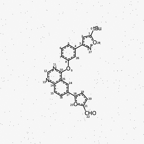 CC(C)(C)c1cc(-c2cccc(Oc3ncnc4ccc(-c5ccc(C=O)o5)cc34)c2)no1